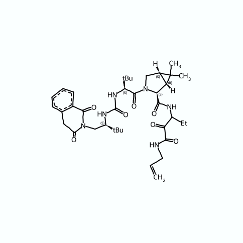 C=CCNC(=O)C(=O)C(CC)NC(=O)[C@@H]1[C@@H]2[C@H](CN1C(=O)[C@@H](NC(=O)N[C@H](CN1C(=O)Cc3ccccc3C1=O)C(C)(C)C)C(C)(C)C)C2(C)C